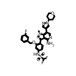 Cn1nc(-c2ccc(NS(=O)(=O)C(F)F)cc2OCc2cccc(F)c2)c2c(N)ncc(-c3cnn(C4CCOCC4)c3)c21